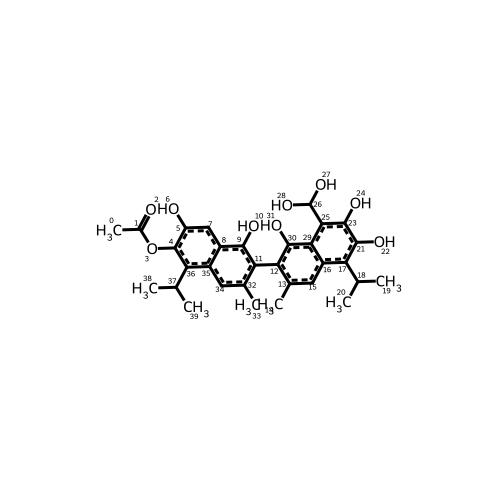 CC(=O)Oc1c(O)cc2c(O)c(-c3c(C)cc4c(C(C)C)c(O)c(O)c(C(O)O)c4c3O)c(C)cc2c1C(C)C